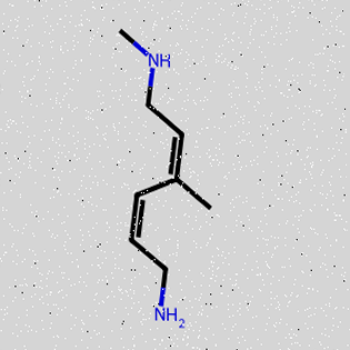 CNC/C=C(C)\C=C/CN